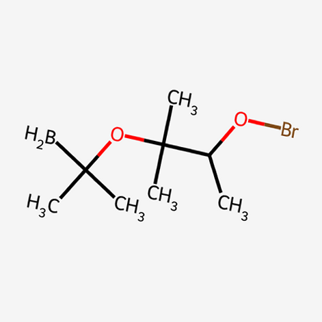 BC(C)(C)OC(C)(C)C(C)OBr